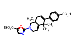 CCOC(=O)c1cnc(N2CC=C3C(C)(C)C(c4ccc(C(=O)O)cc4)=CC[C@]3(C)C2)o1